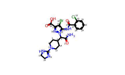 NC(=O)C(C1CCN(C2=NCCN2)CC1)n1nc(C(=O)O)c(Br)c1NC(=O)c1ccccc1Cl